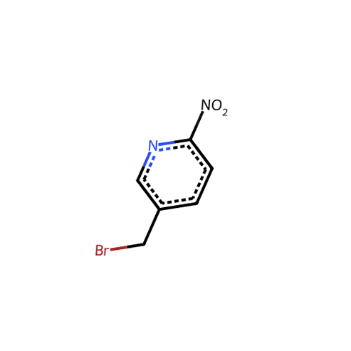 O=[N+]([O-])c1ccc(CBr)cn1